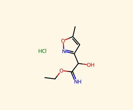 CCOC(=N)C(O)c1cc(C)on1.Cl